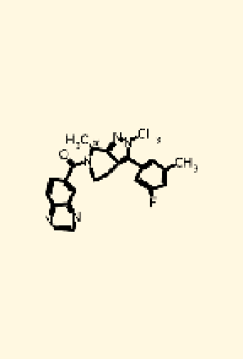 Cc1cc(F)cc(-c2c3c(nn2C)[C@H](C)N(C(=O)c2ccc4nccnc4c2)CC3)c1